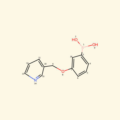 OB(O)c1cccc(OCc2cccnc2)c1